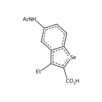 CCc1c(C(=O)O)[se]c2ccc(NC(C)=O)cc12